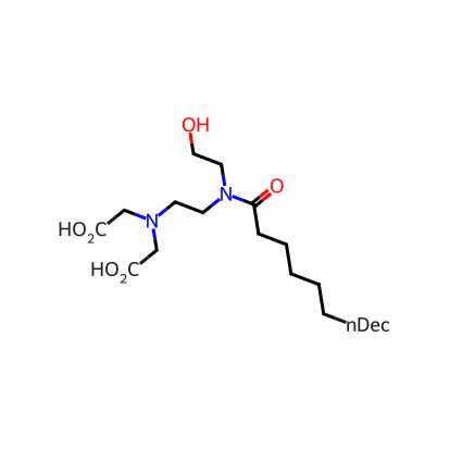 CCCCCCCCCCCCCCCC(=O)N(CCO)CCN(CC(=O)O)CC(=O)O